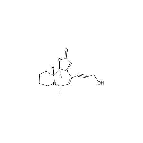 C[C@H]1C=C(C#CCO)C2=CC(=O)O[C@]2(C)[C@H]2CCCCN12